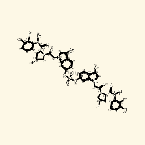 CCN(C(=O)[C@@H]1C[C@@H](F)CN1C(=O)Cn1cc(C(C)=O)c2ccc(OP(C)(=O)Oc3ccc4c(C(C)=O)cn(CC(=O)N5C[C@H](F)C[C@H]5C(=O)N(CC)c5cccc(Cl)c5F)c4c3)cc21)c1cccc(Cl)c1F